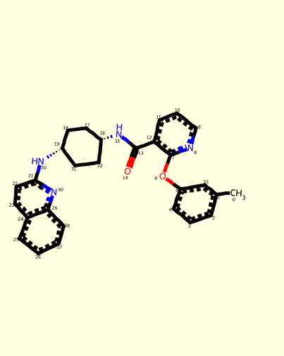 Cc1cccc(Oc2ncccc2C(=O)N[C@H]2CC[C@@H](Nc3ccc4ccccc4n3)CC2)c1